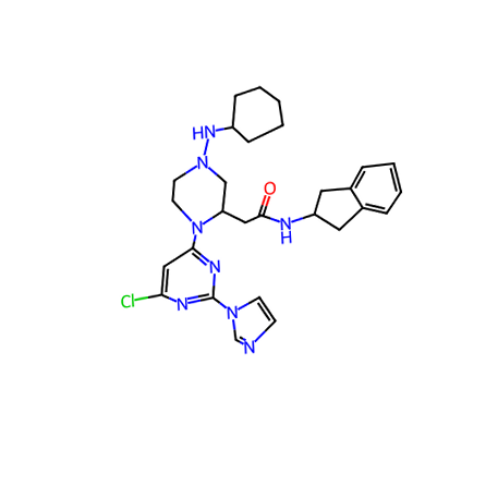 O=C(CC1CN(NC2CCCCC2)CCN1c1cc(Cl)nc(-n2ccnc2)n1)NC1Cc2ccccc2C1